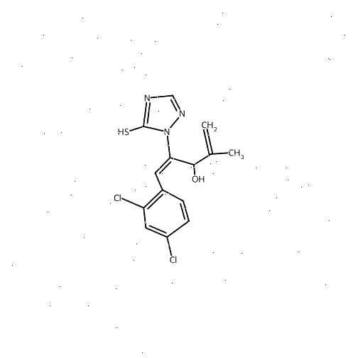 C=C(C)C(O)/C(=C\c1ccc(Cl)cc1Cl)n1ncnc1S